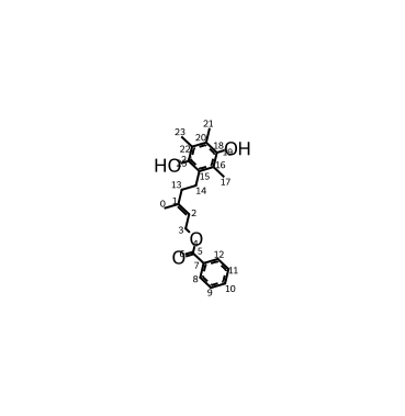 C/C(=C\COC(=O)c1ccccc1)CCc1c(C)c(O)c(C)c(C)c1O